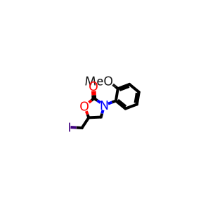 COc1ccccc1N1CC(CI)OC1=O